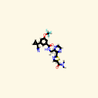 C[C@H](NC(=O)c1cc(OC(F)(F)F)cc(C2(C#N)CC2)c1)c1nccnc1-c1ncc(C(=O)N(C)C)s1